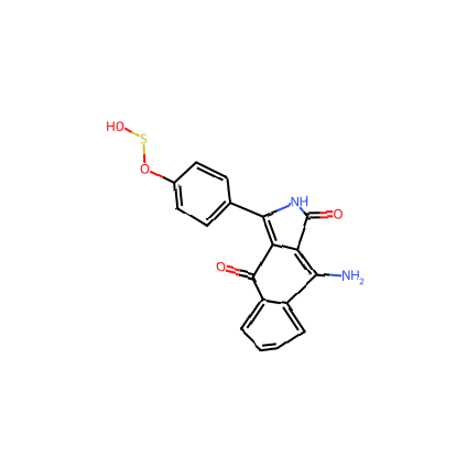 NC1=C2C(=O)NC(c3ccc(OSO)cc3)=C2C(=O)c2ccccc21